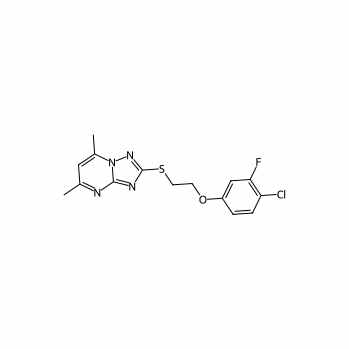 Cc1cc(C)n2nc(SCCOc3ccc(Cl)c(F)c3)nc2n1